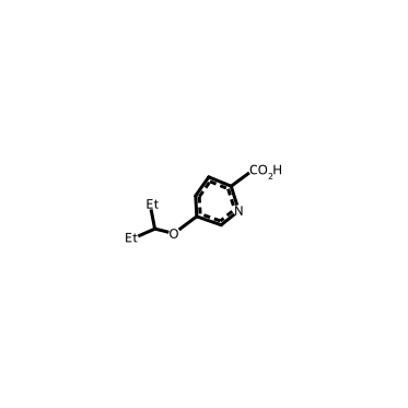 CCC(CC)Oc1ccc(C(=O)O)nc1